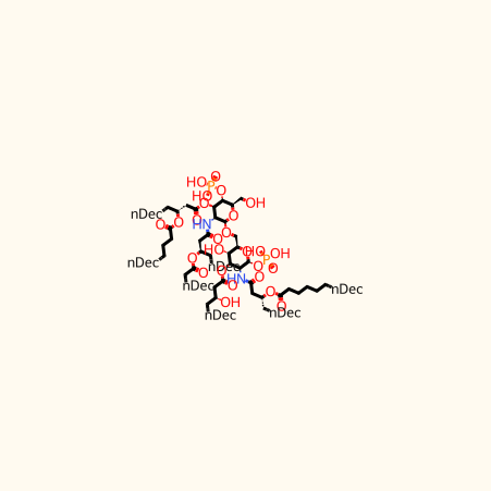 CCCCCCCCCCCCCCCC(=O)O[C@H](CCCCCCCCCCC)CC(=O)N[C@H]1[C@@H](OP(=O)(O)O)O[C@H](CO[C@@H]2O[C@H](CO)[C@@H](OP(=O)(O)O)[C@H](OC(=O)C[C@@H](CCCCCCCCCCC)OC(=O)CCCCCCCCCCCCC)[C@H]2NC(=O)C[C@@H](CCCCCCCCCCC)OC(=O)CCCCCCCCCCC)[C@@H](O)[C@@H]1OC(=O)C[C@H](O)CCCCCCCCCCC